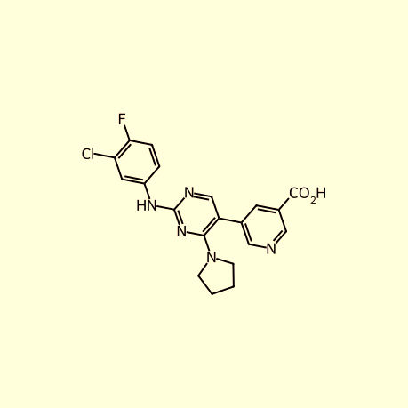 O=C(O)c1cncc(-c2cnc(Nc3ccc(F)c(Cl)c3)nc2N2CCCC2)c1